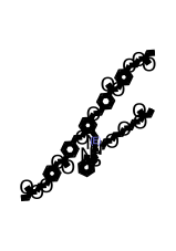 C=CC(=O)OCCOCCOCCN(/N=C/c1cc(OCC2CCC(C(=O)Oc3ccc(OCOC(=O)C=C)cc3)CC2)ccc1OCC1CCC(C(=O)Oc2ccc(OCOC(=O)C=C)cc2)CC1)c1nc2ccccc2s1